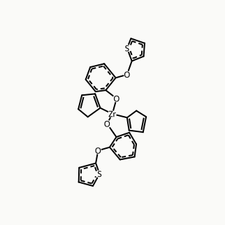 C1=CC[C]([Zr]([O]c2ccccc2Oc2cccs2)([O]c2ccccc2Oc2cccs2)[C]2=CC=CC2)=C1